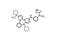 CN(C(=O)OC(C)(C)C)c1cccc(NC(=O)CN2C(=O)N(CC(=O)C3(C)CCCCC3)c3ccccc3N(C3CCCCC3)C2=O)c1